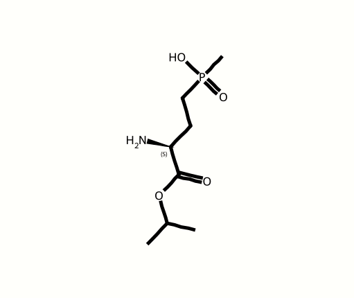 CC(C)OC(=O)[C@@H](N)CCP(C)(=O)O